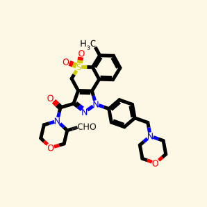 Cc1cccc2c1S(=O)(=O)Cc1c(C(=O)N3CCOCC3C=O)nn(-c3ccc(CN4CCOCC4)cc3)c1-2